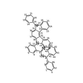 c1ccc(-c2nc(-c3ccccc3-n3c4ccccc4c4c5c6ccccc6n(-c6ccccc6)c5ccc43)nc3ccccc23)cc1